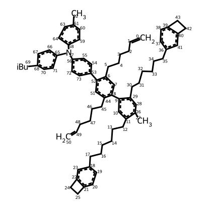 C=CCCCCc1cc(-c2cc(CCCCCCc3ccc4c(c3)CC4)c(C)cc2CCCCCCc2ccc3c(c2)CC3)c(CCCCC=C)cc1-c1ccc(N(c2ccc(C)cc2)c2ccc(C(C)CC)cc2)cc1